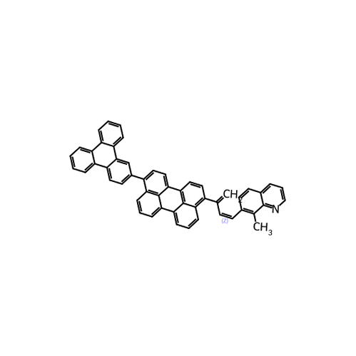 C=C(/C=C\c1ccc2cccnc2c1C)c1ccc2c3ccc(-c4ccc5c6ccccc6c6ccccc6c5c4)c4cccc(c5cccc1c52)c43